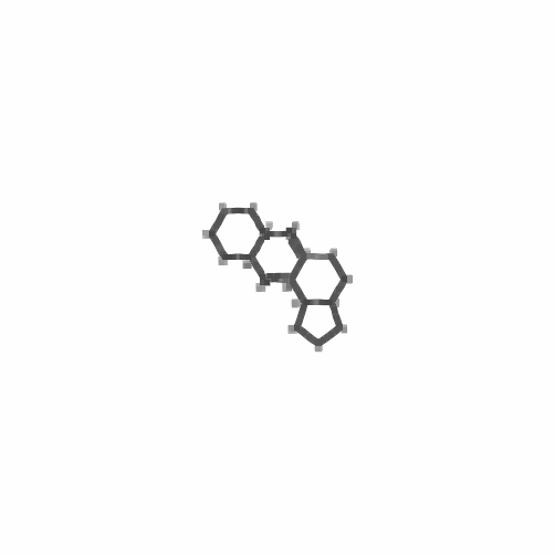 C1CC2CCC3=NN4CCCCC4N=C3C2C1